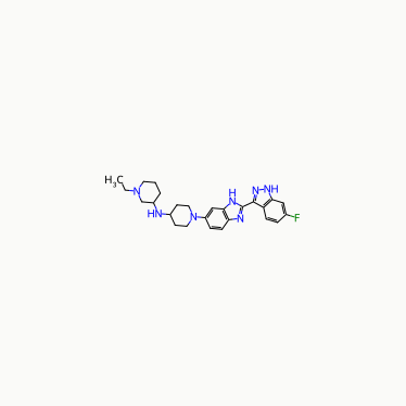 CCN1CCCC(NC2CCN(c3ccc4nc(-c5n[nH]c6cc(F)ccc56)[nH]c4c3)CC2)C1